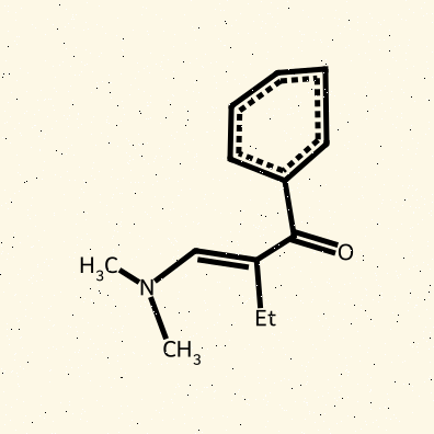 CCC(=CN(C)C)C(=O)c1ccccc1